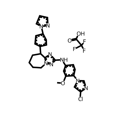 COc1cc(Nc2nc3n(n2)CCCCC3c2ccc(-n3cccn3)cc2)ccc1-n1cnc(Cl)c1.O=C(O)C(F)(F)F